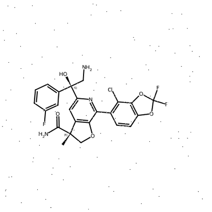 C[C@]1(C(N)=O)COc2c1cc([C@@](O)(CN)c1cccc(F)c1)nc2-c1ccc2c(c1Cl)OC(F)(F)O2